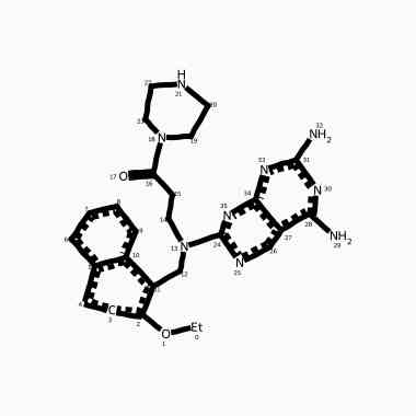 CCOc1ccc2ccccc2c1CN(CCC(=O)N1CCNCC1)c1ncc2c(N)nc(N)nc2n1